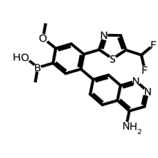 COc1cc(-c2ncc(C(F)F)s2)c(-c2ccc3c(N)cnnc3c2)cc1B(C)O